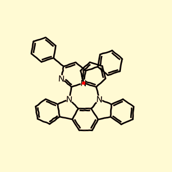 c1ccc(-c2cc(-c3ccccc3)nc(-n3c4ccccc4c4ccc5c6ccccc6n(-c6ccccc6)c5c43)n2)cc1